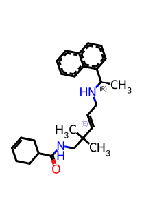 C[C@@H](NC/C=C/C(C)(C)CNC(=O)C1CC=CCC1)c1cccc2ccccc12